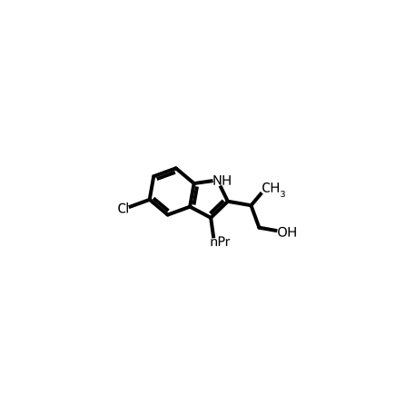 CCCc1c(C(C)CO)[nH]c2ccc(Cl)cc12